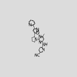 Cc1cc(Nc2ccc(C#N)cn2)nc(N2CCCC2c2cc(-c3ccccn3)no2)n1